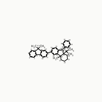 CC1(C)c2ccccc2-c2ccc(-c3ccc4c(c3)C3(C)CCCCC3(C(C)(C)C)N4c3ccccc3)cc21